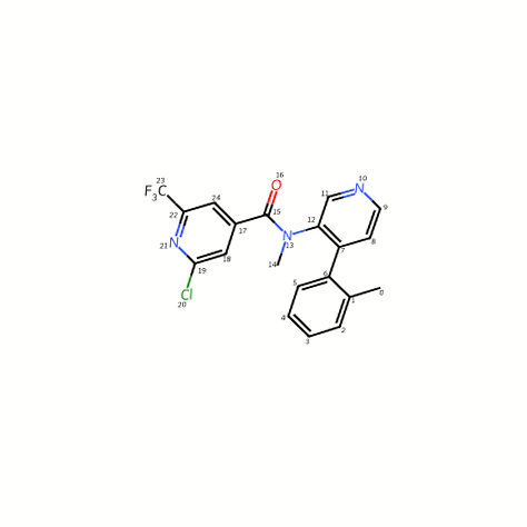 Cc1ccccc1-c1ccncc1N(C)C(=O)c1cc(Cl)nc(C(F)(F)F)c1